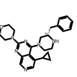 c1ccc(C[C@H]2CN(c3nc(N4CCOCC4)nc4cncc(C5CC5)c34)CCN2)cc1